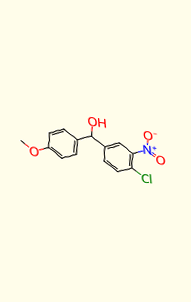 COc1ccc(C(O)c2ccc(Cl)c([N+](=O)[O-])c2)cc1